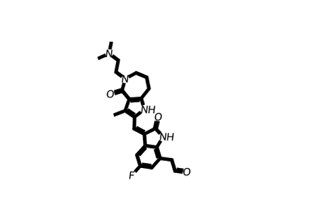 Cc1c(/C=C2\C(=O)Nc3c(CC=O)cc(F)cc32)[nH]c2c1C(=O)N(CCN(C)C)CCC2